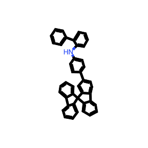 c1ccc(-c2ccccc2Nc2ccc(-c3ccc4c(c3)C3(c5ccccc5-c5ccccc53)c3ccccc3-4)cc2)cc1